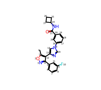 Cc1onc(-c2cccc(F)c2)c1-c1cn(-c2cccc(C(=O)NC3CCC3)c2)cn1